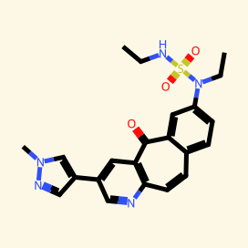 CCNS(=O)(=O)N(CC)c1ccc2ccc3ncc(-c4cnn(C)c4)cc3c(=O)c2c1